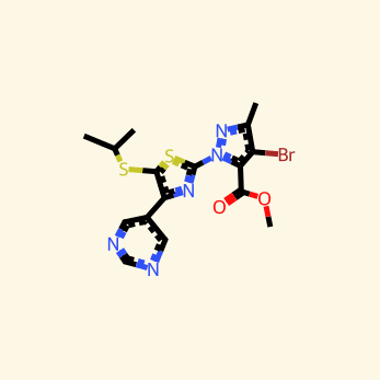 COC(=O)c1c(Br)c(C)nn1-c1nc(-c2cncnc2)c(SC(C)C)s1